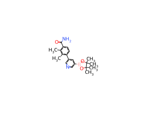 Cc1c(C(N)=O)ccc(-c2cncc(B3OC(C)(C)C(C)(C)O3)c2)c1C